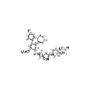 COc1cc(-c2ccc(F)cc2)c(C2=CCCCC2)cc1CN1CC2(CC(N3CCC(C)(C(=O)O)CC3)=NO2)C1